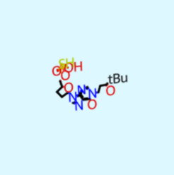 CC(C)(C)C(=O)CCn1cnc2c(ncn2C2CCC(COP(=O)(O)S)O2)c1=O